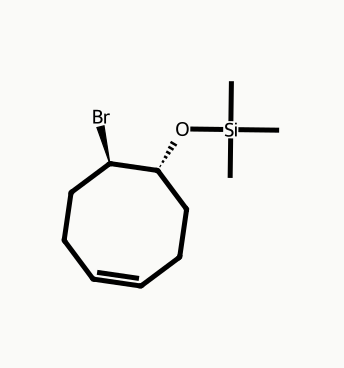 C[Si](C)(C)O[C@@H]1CC/C=C\CC[C@H]1Br